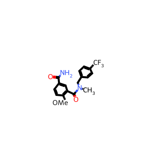 COc1ccc(C(N)=O)cc1C(=O)N(C)Cc1ccc(C(F)(F)F)cc1